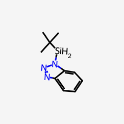 CC(C)(C)[SiH2]n1nnc2ccccc21